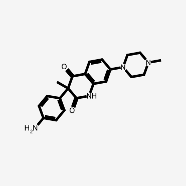 CN1CCN(c2ccc3c(c2)NC(=O)C(C)(c2ccc(N)cc2)C3=O)CC1